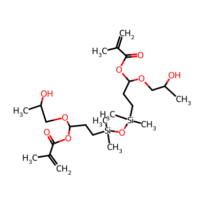 C=C(C)C(=O)OC(CC[Si](C)(C)O[Si](C)(C)CCC(OCC(C)O)OC(=O)C(=C)C)OCC(C)O